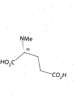 CN[C@H](CCC(=O)O)C(=O)O